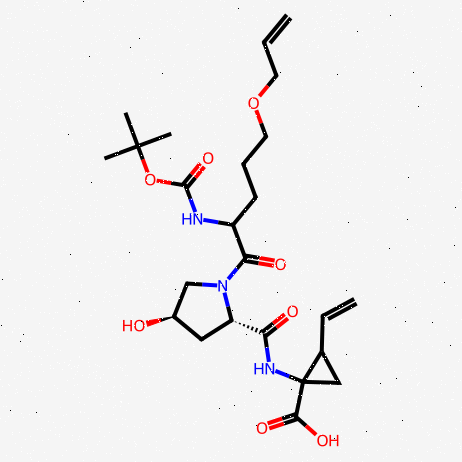 C=CCOCCCC(NC(=O)OC(C)(C)C)C(=O)N1C[C@H](O)C[C@H]1C(=O)NC1(C(=O)O)CC1C=C